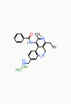 Cc1nc(CC(C)C)c(CN)c(-c2ccc(CN)cc2)c1NC(=O)c1ccccc1.Cl.Cl